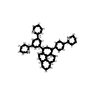 c1ccc(-c2ccc(-c3cc(-c4cc(-c5ccccn5)cc(-c5ccccn5)c4)c4ccc5cccc6ccc3c4c65)cc2)nc1